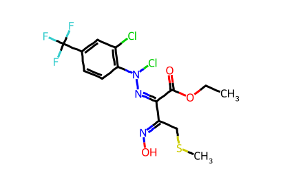 CCOC(=O)C(=NN(Cl)c1ccc(C(F)(F)F)cc1Cl)C(CSC)=NO